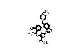 C[C@@H](Oc1cc(-n2cnc3ccc(CN4CCN(C)CC4)cc32)sc1C(N)=O)c1ccccc1Cl